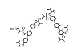 C=C(C)C(=C)Oc1ccc(-c2ccc(-c3ccc(O/C(=N/C=C(\C)C(=O)Oc4cc(-c5ccc(-c6ccc(OC(=C)C(=C)C)c(OC(C)C(=C)C)c6)c(I)c5)ccc4OC(=O)C(=C)C)C(=C)C)cc3)cc2OC(=O)C(=C)COC)cc1